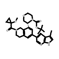 COC1(C(=O)N2CCc3cc(-c4cnc5[nH]cc(C)c5c4)cc([C@@H]4COCCN4C(=O)OC(C)(C)C)c3C2)CC1